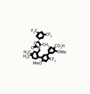 COc1cc(-c2cc(C3=C(CN4C(=O)O[C@H](c5cc(C(F)(F)F)cc(C(F)(F)F)c5)[C@@H]4C)CC(C)(C)CC3)c(OC)cc2C(F)(F)F)ccc1C(=O)O